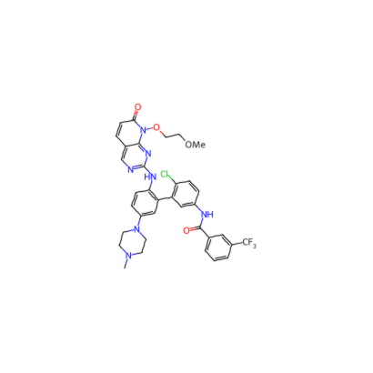 COCCOn1c(=O)ccc2cnc(Nc3ccc(N4CCN(C)CC4)cc3-c3cc(NC(=O)c4cccc(C(F)(F)F)c4)ccc3Cl)nc21